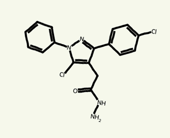 NNC(=O)Cc1c(-c2ccc(Cl)cc2)nn(-c2ccccc2)c1Cl